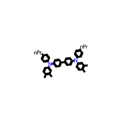 CCCc1ccc(N(c2ccc(-c3ccc(N(c4ccc(CCC)cc4)c4ccc(C)c(C)c4)cc3)cc2)c2ccc(C)c(C)c2)cc1